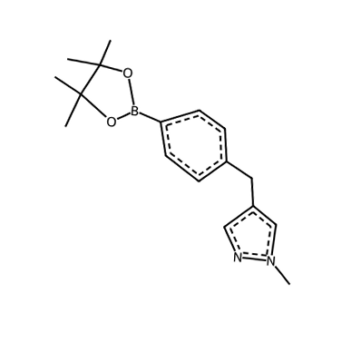 Cn1cc(Cc2ccc(B3OC(C)(C)C(C)(C)O3)cc2)cn1